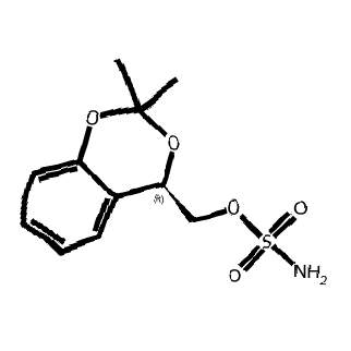 CC1(C)Oc2ccccc2[C@H](COS(N)(=O)=O)O1